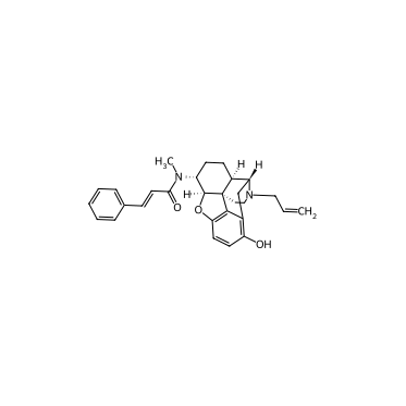 C=CCN1CC[C@@]23c4c5ccc(O)c4C[C@@H]1[C@@H]2CC[C@@H](N(C)C(=O)C=Cc1ccccc1)[C@@H]3O5